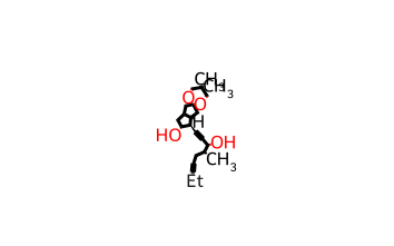 CCC#CC[C@H](C)[C@H](O)C#C[C@H]1[C@H](O)CC2CC3(C[C@@H]21)OCC(C)(C)CO3